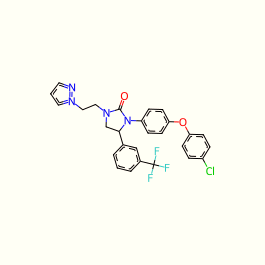 O=C1N(CCn2cccn2)CC(c2cccc(C(F)(F)F)c2)N1c1ccc(Oc2ccc(Cl)cc2)cc1